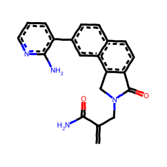 C=C(CN1Cc2c(ccc3ccc(-c4cccnc4N)cc23)C1=O)C(N)=O